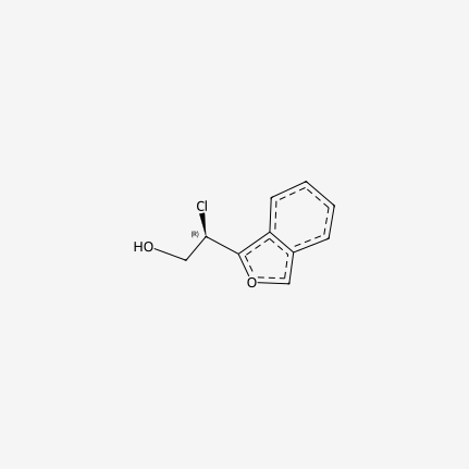 OC[C@@H](Cl)c1occ2ccccc12